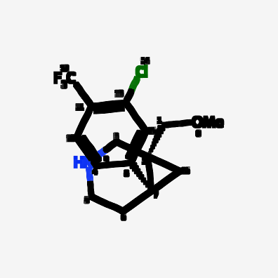 COC[C@@]12CNCC[C@]1(c1ccc(C(F)(F)F)c(Cl)c1)C2